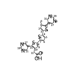 Cc1cc(-c2ccc(-c3cc(CC(=O)O)c(-c4cncnc4)s3)s2)sc1-c1cncnc1